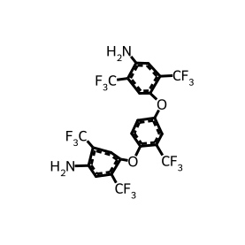 Nc1cc(C(F)(F)F)c(Oc2ccc(Oc3cc(C(F)(F)F)c(N)cc3C(F)(F)F)c(C(F)(F)F)c2)cc1C(F)(F)F